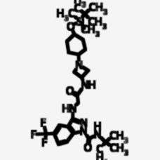 CC(C)(C)NC(=O)n1nc(NCC(=O)NC2CN(C3CCC(O[Si](C)(C)C(C)(C)C)CC3)C2)c2cc(C(F)(F)F)ccc21